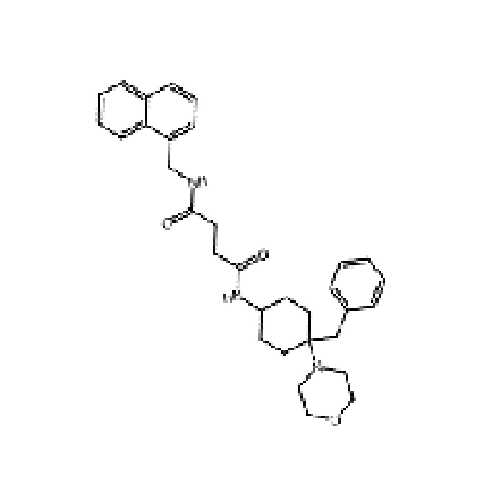 O=C(CCC(=O)NC1CCC(Cc2ccccc2)(N2CCOCC2)CC1)NCc1cccc2ccccc12